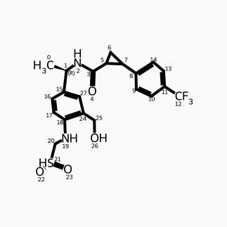 C[C@@H](NC(=O)C1CC1c1ccc(C(F)(F)F)cc1)c1ccc(NC[SH](=O)=O)c(CO)c1